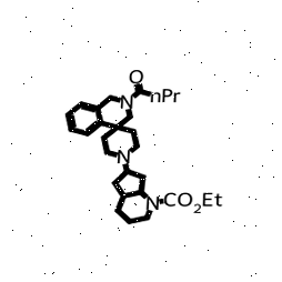 CCCC(=O)N1Cc2ccccc2C2(CCN(C3CC4CCCN(C(=O)OCC)C4C3)CC2)C1